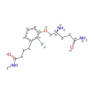 CNC(=O)CCCc1cccc(OC[C@@H](N)CCC(N)=O)c1F